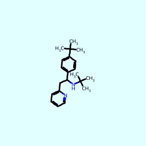 CC(C)(C)NC(Cc1ccccn1)c1ccc(C(C)(C)C)cc1